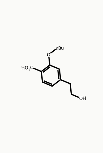 CCCCOc1cc(CCO)ccc1C(=O)O